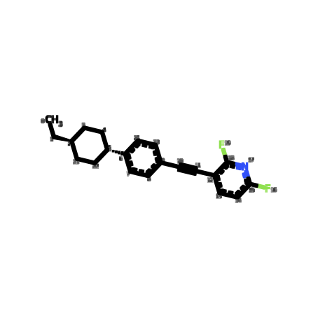 CC[C@H]1CC[C@H](c2ccc(C#Cc3ccc(F)nc3F)cc2)CC1